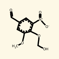 COc1cc(C=O)cc([N+](=O)[O-])c1OCO